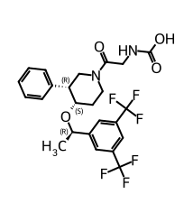 C[C@@H](O[C@H]1CCN(C(=O)CNC(=O)O)C[C@H]1c1ccccc1)c1cc(C(F)(F)F)cc(C(F)(F)F)c1